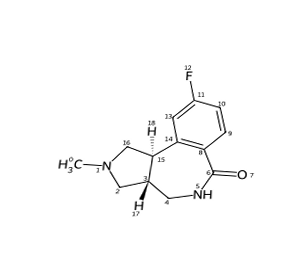 CN1C[C@H]2CNC(=O)c3ccc(F)cc3[C@@H]2C1